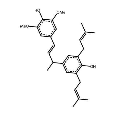 COc1cc(/C=C/C(C)c2cc(CC=C(C)C)c(O)c(CC=C(C)C)c2)cc(OC)c1O